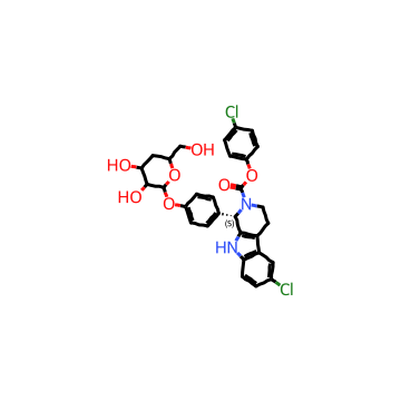 O=C(Oc1ccc(Cl)cc1)N1CCc2c([nH]c3ccc(Cl)cc23)[C@@H]1c1ccc(OC2OC(CO)CC(O)C2O)cc1